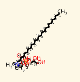 CCCCCCCCCCCCCCCCCCCCCCC(=O)C(C[N+](C)(C)C)OP(=O)(O)OCC(O)CO